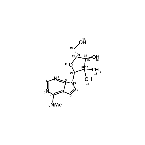 CNc1ncnc2c1ccn2C1O[C@H](CO)[C@@H](O)[C@@]1(C)O